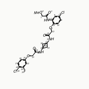 COCC(=O)Nc1cc(Cl)ccc1OCC(=O)NC12CC(NC(=O)COc3ccc(Cl)c(F)c3)(C1)C2